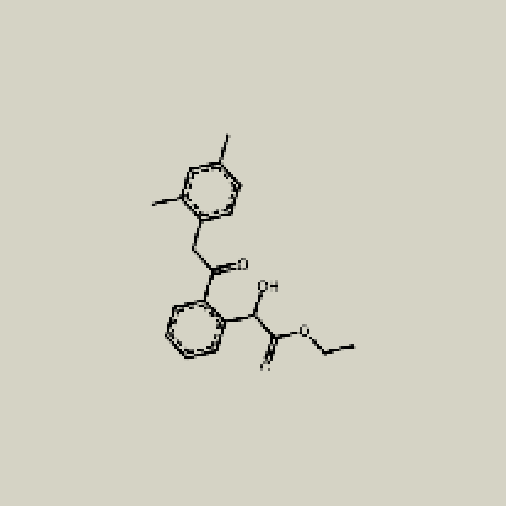 CCOC(=O)C(O)c1ccccc1C(=O)Cc1ccc(C)cc1C